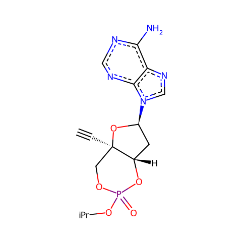 C#C[C@@]12COP(=O)(OC(C)C)O[C@H]1C[C@H](n1cnc3c(N)ncnc31)O2